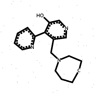 Oc1cncc(CN2CCCCCC2)c1-c1ccccn1